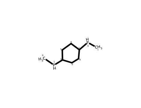 CPC1[CH]CC(PC)CC1